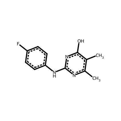 Cc1nc(Nc2ccc(F)cc2)nc(O)c1C